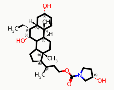 CC[C@H]1[C@@H](O)C2C3CC[C@H]([C@H](C)CCOC(=O)N4CC[C@H](O)C4)[C@@]3(C)CC[C@@H]2[C@@]2(C)CC[C@@H](O)C[C@@H]12